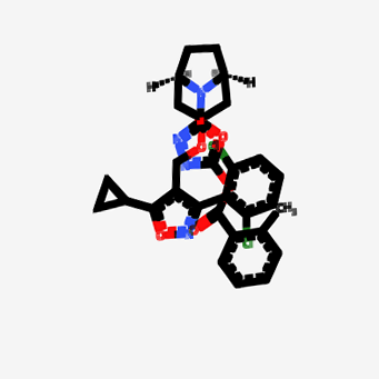 Cc1ccccc1C(=O)Oc1nnc(N2[C@@H]3CC[C@H]2CC(OCc2c(-c4c(Cl)cccc4Cl)noc2C2CC2)C3)o1